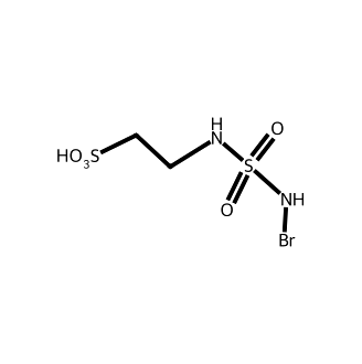 O=S(=O)(O)CCNS(=O)(=O)NBr